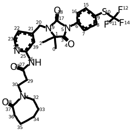 CC1(C)C(=O)N(c2ccc(SC(F)(F)F)cc2)C(=O)N1Cc1ccnc(NC(=O)CCN2CCCCCC2=O)c1